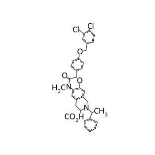 CC(c1ccccc1)N1Cc2cc3c(cc2CC1C(=O)O)N(C)C(=O)C(c1ccc(OCc2ccc(Cl)c(Cl)c2)cc1)O3